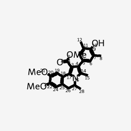 COC(=O)c1c(-c2cc(C)c(O)c(C)c2)c(C)n2c1-c1cc(OC)c(OC)cc1CC2C